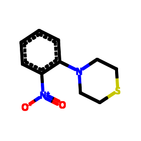 O=[N+]([O-])c1ccccc1N1CCSCC1